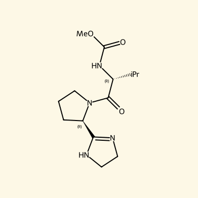 COC(=O)N[C@@H](C(=O)N1CCC[C@@H]1C1=NCCN1)C(C)C